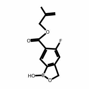 C=C(C)COC(=O)c1cc2c(cc1F)COB2O